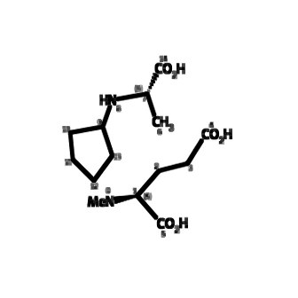 CN[C@@H](CCC(=O)O)C(=O)O.C[C@H](NC1CCCC1)C(=O)O